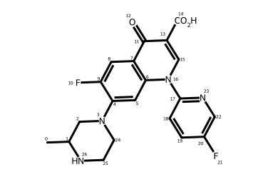 CC1CN(c2cc3c(cc2F)c(=O)c(C(=O)O)cn3-c2ccc(F)cn2)CCN1